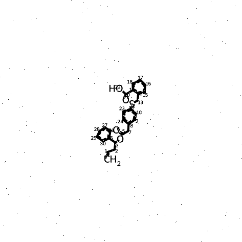 C=CCC(OC(=O)Cc1ccc(SCc2ccccc2C(=O)O)cc1)c1ccccc1